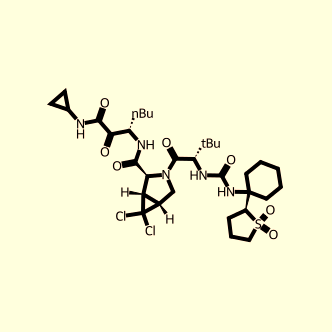 CCCC[C@H](NC(=O)[C@@H]1[C@@H]2[C@H](CN1C(=O)[C@@H](NC(=O)NC1([C@@H]3CCCS3(=O)=O)CCCCC1)C(C)(C)C)C2(Cl)Cl)C(=O)C(=O)NC1CC1